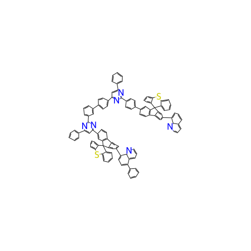 c1ccc(-c2cc(-c3ccc(-c4cccc(-c5nc(-c6ccccc6)cc(-c6ccc7c(c6)C6(c8ccccc8Sc8ccccc86)c6cc(-c8ccc(-c9ccccc9)c9cccnc89)ccc6-7)n5)c4)cc3)nc(-c3ccc(-c4ccc5c(c4)C4(c6ccccc6Sc6ccccc64)c4cc(-c6cccc7cccnc67)ccc4-5)cc3)n2)cc1